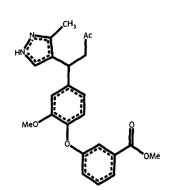 COC(=O)c1cccc(Oc2ccc(C(CC(C)=O)c3c[nH]nc3C)cc2OC)c1